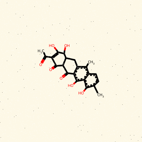 CC(=O)C1=C(O)C(O)C2Cc3c(c(O)c4c(O)c(C)ccc4c3C)C(=O)C2C1=O